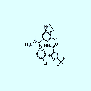 CNC(=O)c1cc2nsnc2c(Cl)c1NC(=O)c1cc(C(F)(F)F)nn1-c1ncccc1Cl